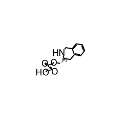 O=S(=O)(O)OC[C@H]1Cc2ccccc2CN1